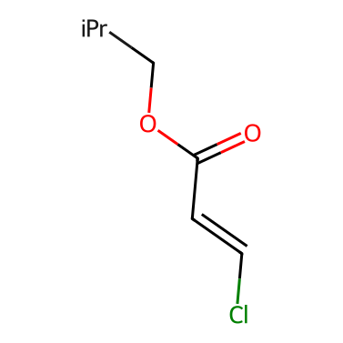 CC(C)COC(=O)C=CCl